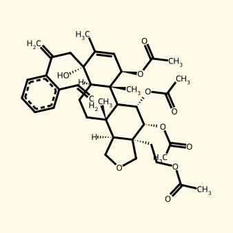 C=Cc1ccccc1C(=C)C[C@@]1(O)C(C)=C[C@@H](OC(C)=O)[C@]2(C)C3[C@H](OC(C)=O)[C@H](OC(C)=O)[C@@]4(CCOC(C)=O)COC[C@H]4[C@]3(C)CC[C@H]21